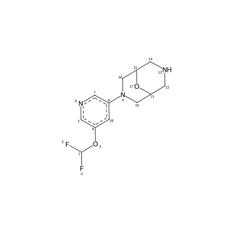 FC(F)Oc1cncc(N2CC3CNCC(C2)O3)c1